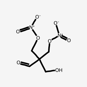 O=CC(CO)(CO[N+](=O)[O-])CO[N+](=O)[O-]